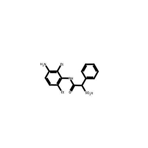 CCc1ccc(N)c(CC)c1NC(=O)C(c1ccccc1)S(=O)(=O)O